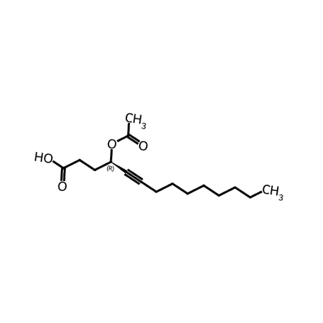 CCCCCCCCC#C[C@@H](CCC(=O)O)OC(C)=O